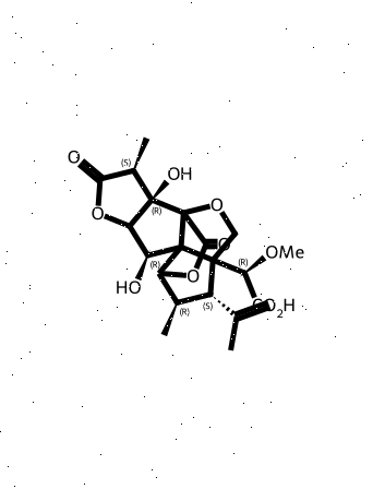 C=C(C)[C@@H]1[C@@H](C)C2OC(=O)C34OCC1([C@@H](OC)C(=O)O)C23[C@@H](O)C1OC(=O)[C@@H](C)[C@@]14O